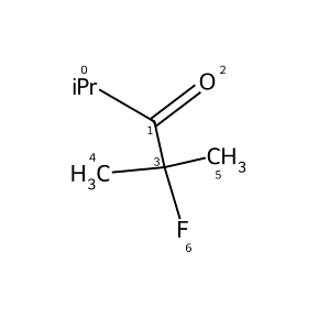 CC(C)C(=O)C(C)(C)F